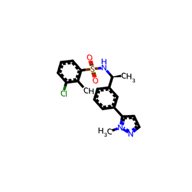 Cc1c(Cl)cccc1S(=O)(=O)N[C@@H](C)c1cccc(-c2ccnn2C)c1